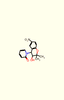 CC1(C)Oc2ccc([N+](=O)[O-])cc2C(n2ccccc2=O)C1O